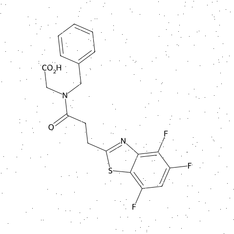 O=C(O)CN(Cc1ccccc1)C(=O)CCc1nc2c(F)c(F)cc(F)c2s1